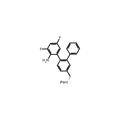 CCC[C@@H](C)Cc1ccc(-c2cc(F)cc(F)c2N)c(-c2ccccc2)c1